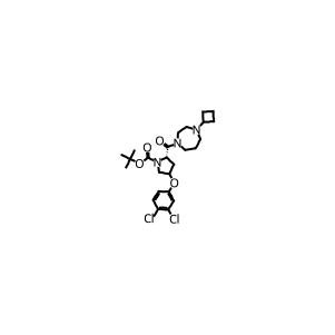 CC(C)(C)OC(=O)N1CC(Oc2ccc(Cl)c(Cl)c2)C[C@H]1C(=O)N1CCCN(C2CCC2)CC1